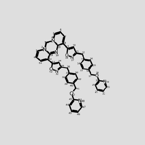 C1=CN2CN3C=CC=C(c4cc(Cc5ccc(COc6ccccn6)cc5)no4)C3N=C2C(c2cc(Cc3ccc(COc4ccccn4)cc3)no2)=C1